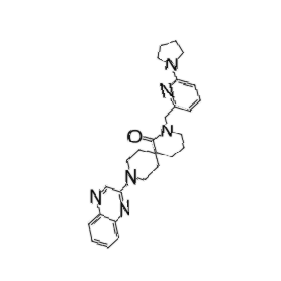 O=C1N(Cc2cccc(N3CCCC3)n2)CCCC12CCN(c1cnc3ccccc3n1)CC2